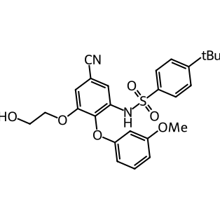 COc1cccc(Oc2c(NS(=O)(=O)c3ccc(C(C)(C)C)cc3)cc(C#N)cc2OCCO)c1